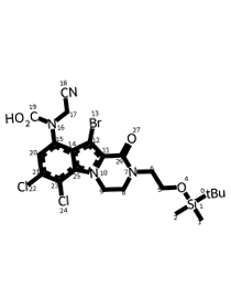 CC(C)(C)[Si](C)(C)OCCN1CCn2c(c(Br)c3c(N(CC#N)C(=O)O)cc(Cl)c(Cl)c32)C1=O